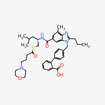 CCCc1nc2c(C)cc(C(=O)N[C@@H](CSC(=O)CCCN3CCOCC3)CC(C)C)cc2n1Cc1ccc(-c2ccccc2C(=O)O)cc1